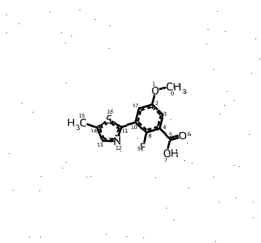 COc1cc(C(=O)O)c(F)c(-c2ncc(C)s2)c1